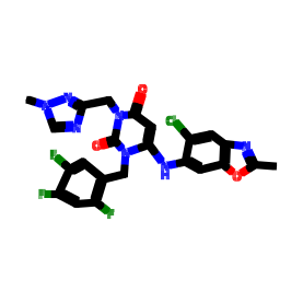 Cc1nc2cc(Cl)c(Nc3cc(=O)n(Cc4ncn(C)n4)c(=O)n3Cc3cc(F)c(F)cc3F)cc2o1